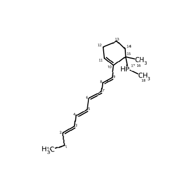 CC/C=C/C=C/C=C/C=C/C1=CCCCC1(C)PC